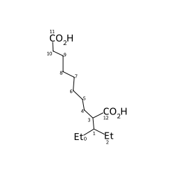 CCC(CC)C(CCCCCCCC(=O)O)C(=O)O